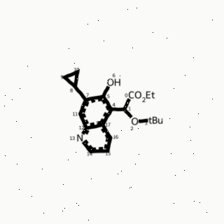 CCOC(=O)C(OC(C)(C)C)c1c(O)c(C2CC2)cc2ncccc12